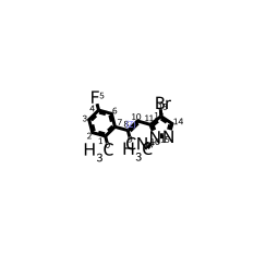 Cc1ccc(F)cc1/C(C#N)=C/c1c(Br)cnn1C